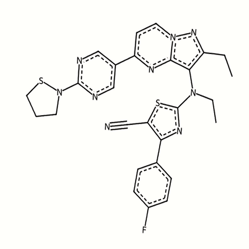 CCc1nn2ccc(-c3cnc(N4CCCS4)nc3)nc2c1N(CC)c1nc(-c2ccc(F)cc2)c(C#N)s1